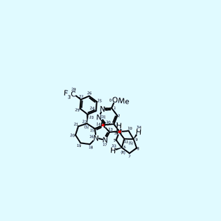 COc1cc(N2C[C@H]3CC[C@@H](C2)C3Nc2nc3n(n2)CCCC[C@H]3c2cccc(C(F)(F)F)c2)cnn1